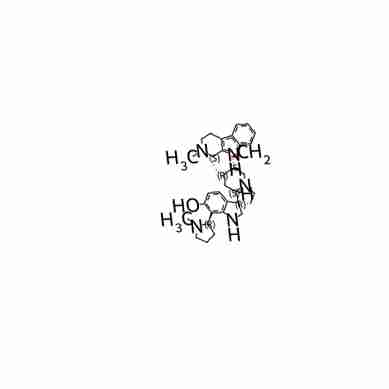 C=C[C@@H]1CN2CC[C@@]3(CNc4c3ccc(O)c4[C@H]3CCCN3C)[C@@H]2C[C@@H]1C[C@H]1c2[nH]c3ccccc3c2CCN1C